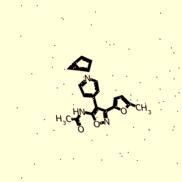 CC(=O)Nc1onc(-c2ccc(C)o2)c1-c1ccncc1.c1cc2cc-2c1